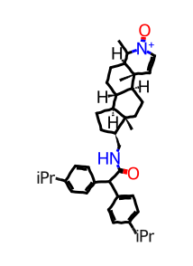 CC(C)c1ccc(C(C(=O)NC[C@H]2CC[C@H]3[C@@H]4CC[C@H]5C(C)[N+](=O)C=C[C@]5(C)[C@H]4CC[C@]23C)c2ccc(C(C)C)cc2)cc1